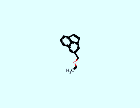 C=COCc1cc2c3c(cccc3c1)C=C2